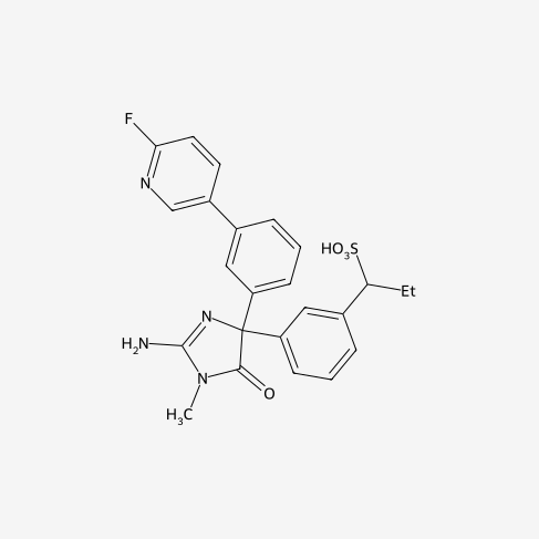 CCC(c1cccc(C2(c3cccc(-c4ccc(F)nc4)c3)N=C(N)N(C)C2=O)c1)S(=O)(=O)O